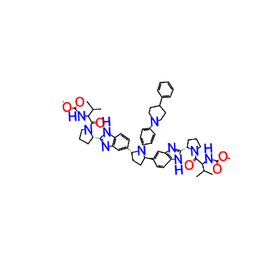 COC(=O)N[C@H](C(=O)N1CCC[C@H]1c1nc2cc([C@H]3CC[C@H](c4ccc5[nH]c([C@@H]6CCCN6C(=O)[C@@H](NC(=O)OC)C(C)C)nc5c4)N3c3ccc(N4CCC(c5ccccc5)CC4)cc3)ccc2[nH]1)C(C)C